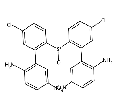 Nc1ccc([N+](=O)[O-])cc1-c1cc(Cl)ccc1[S+]([O-])c1ccc(Cl)cc1-c1cc([N+](=O)[O-])ccc1N